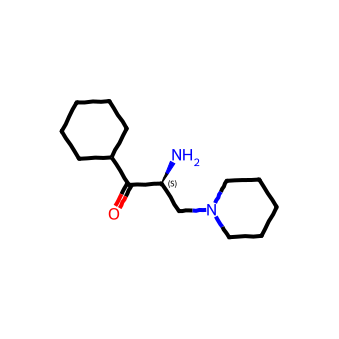 N[C@@H](CN1CCCCC1)C(=O)C1CCCCC1